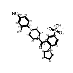 CS(=O)(=O)c1ccc(N2CCCC2)c(C(=O)N2CCN(c3ccc(C#N)cc3F)CC2)c1